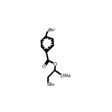 CCC(C)c1ccc(C(=O)OC(CC(C)(C)C)OC)cc1